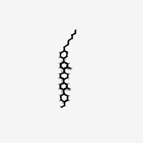 CCCCCCCC1CCC(c2ccc(C3CC=C(c4ccc(C5CCC(CC)CC5)c(F)c4)CC3)c(F)c2)CC1